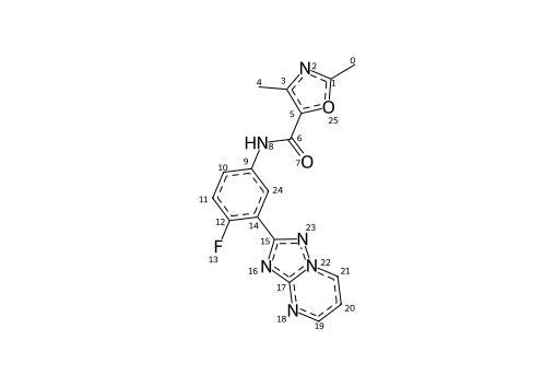 Cc1nc(C)c(C(=O)Nc2ccc(F)c(-c3nc4ncccn4n3)c2)o1